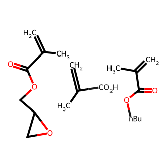 C=C(C)C(=O)O.C=C(C)C(=O)OCC1CO1.C=C(C)C(=O)OCCCC